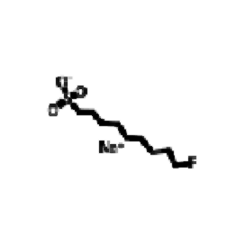 O=S(=O)([O-])CCCCCCCCCF.[Na+]